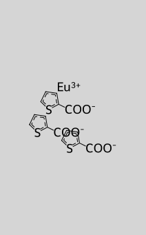 O=C([O-])c1cccs1.O=C([O-])c1cccs1.O=C([O-])c1cccs1.[Eu+3]